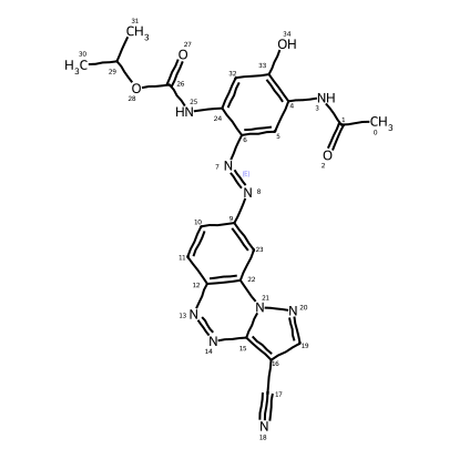 CC(=O)Nc1cc(/N=N/c2ccc3nnc4c(C#N)cnn4c3c2)c(NC(=O)OC(C)C)cc1O